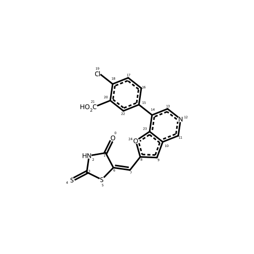 O=C1NC(=S)SC1=Cc1cc2cncc(-c3ccc(Cl)c(C(=O)O)c3)c2o1